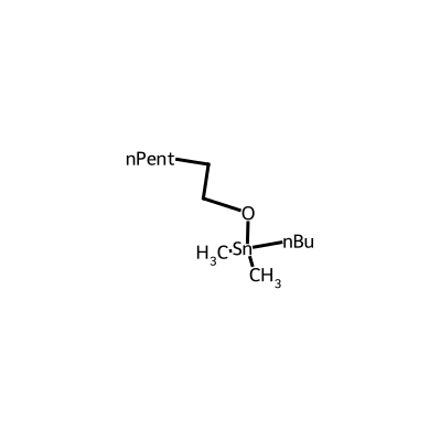 CCCCCCC[O][Sn]([CH3])([CH3])[CH2]CCC